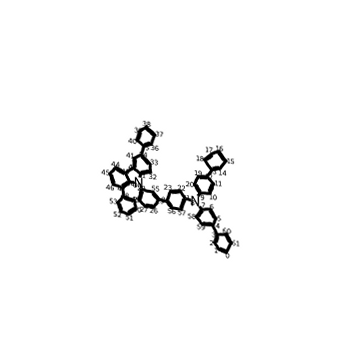 c1ccc(-c2ccc(N(c3ccc(-c4ccccc4)cc3)c3ccc(-c4cccc(-n5c6ccc(-c7ccccc7)cc6c6cccc(-c7ccccc7)c65)c4)cc3)cc2)cc1